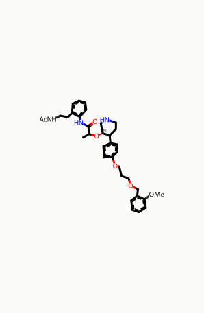 COc1ccccc1COCCCOc1ccc(C2CCNC[C@@H]2OC(C)C(=O)Nc2ccccc2CCNC(C)=O)cc1